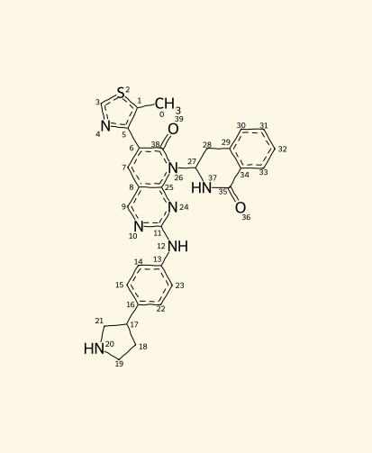 Cc1scnc1-c1cc2cnc(Nc3ccc(C4CCNC4)cc3)nc2n(C2Cc3ccccc3C(=O)N2)c1=O